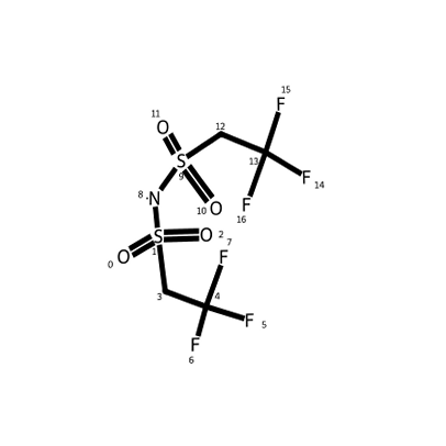 O=S(=O)(CC(F)(F)F)[N]S(=O)(=O)CC(F)(F)F